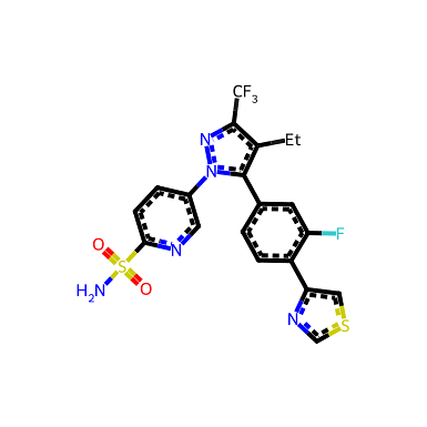 CCc1c(C(F)(F)F)nn(-c2ccc(S(N)(=O)=O)nc2)c1-c1ccc(-c2cscn2)c(F)c1